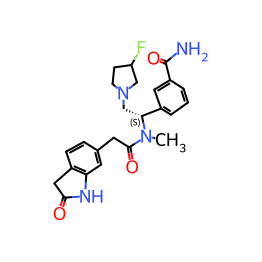 CN(C(=O)Cc1ccc2c(c1)NC(=O)C2)[C@H](CN1CCC(F)C1)c1cccc(C(N)=O)c1